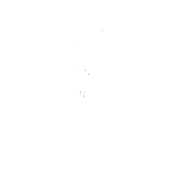 Cc1cc(C)c(-n2[c][n+](-c3c(C)cc(C)cc3C)cc2)c(C)c1